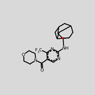 O=C(c1cnc(NC2C3CCC4CC(C3)CC2C4)nc1C(F)(F)F)N1CCOCC1